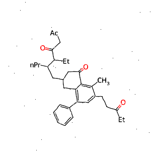 CCCC(CC1CC(=O)c2c(C)c(CCC(=O)CC)cc(-c3ccccc3)c2C1)C(CC)C(=O)CC(C)=O